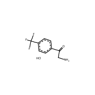 Cl.NCC(=O)c1ccc(C(F)(F)F)cc1